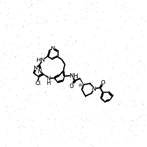 O=C(C[C@@H]1CCCN(C(=O)c2ccccc2)C1)Nc1ccc2cc1CCc1cncc(c1)Nc1ncc(Cl)c(n1)N2